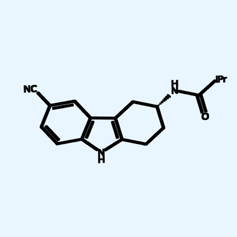 CC(C)C(=O)N[C@@H]1CCc2[nH]c3ccc(C#N)cc3c2C1